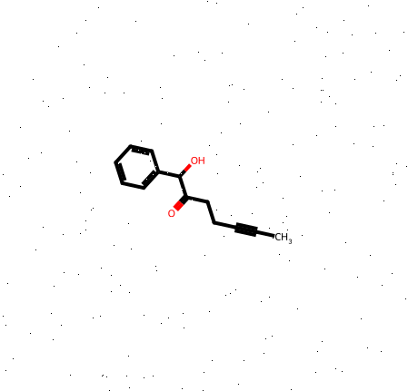 CC#CCCC(=O)C(O)c1ccccc1